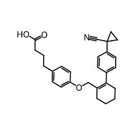 N#CC1(c2ccc(C3=C(COc4ccc(CCCC(=O)O)cc4)CCCC3)cc2)CC1